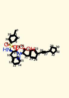 Cc1ccc(S(=O)(=O)NC(Cc2ccccc2)C(=O)NC(Cc2ccc(C#CC3CCCC3)cc2)C(=O)O)cc1